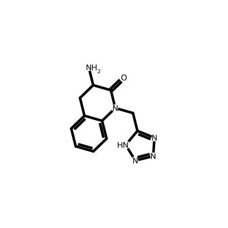 NC1Cc2ccccc2N(Cc2nnn[nH]2)C1=O